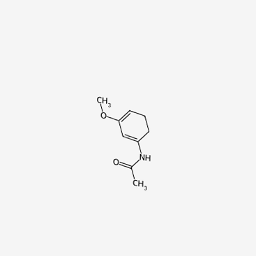 COC1=CCCC(NC(C)=O)=C1